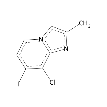 Cc1cn2ccc(I)c(Cl)c2n1